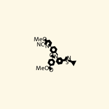 COc1ccc([C@H]2CC[C@H](CN(c3cccc(-c4cnc(C5CC5)s4)c3)C(=O)[C@H]3CC[C@H](C(=O)OC)CC3)CC2)nc1C#N